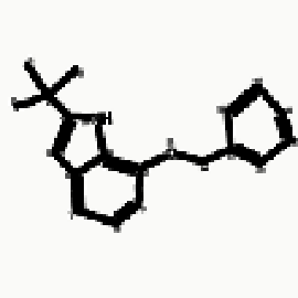 CC(C)(C)c1cc2cccc(OCc3ccccc3)c2[nH]1